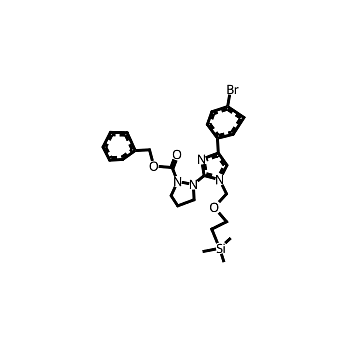 C[Si](C)(C)CCOCn1cc(-c2ccc(Br)cc2)nc1N1CCCN1C(=O)OCc1ccccc1